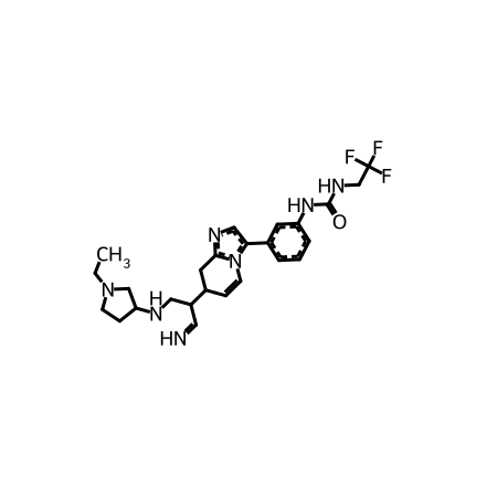 CCN1CCC(NCC(C=N)C2C=Cn3c(-c4cccc(NC(=O)NCC(F)(F)F)c4)cnc3C2)C1